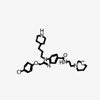 O=C(NCCN1CCCCC1)c1ccc2c(c1)nc(COc1ccc(Cl)cc1)n2CCCC1CCNCC1